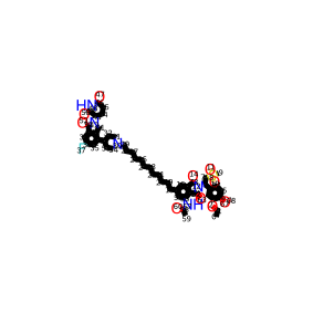 CCOc1cc(C(CS(C)(=O)=O)N2C(=O)c3cc(CCCCCCCCCCCCN4CCC(c5cc(F)cc6c5CN(C5CCC(=O)NC5=O)C6=O)CC4)cc(NC(C)=O)c3C2=O)ccc1OC